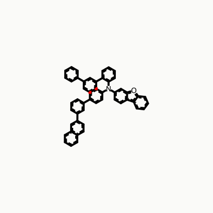 c1ccc(-c2cccc(-c3ccccc3N(c3ccc(-c4cccc(-c5ccc6ccccc6c5)c4)cc3)c3ccc4c(c3)oc3ccccc34)c2)cc1